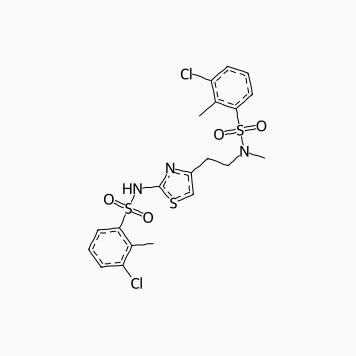 Cc1c(Cl)cccc1S(=O)(=O)Nc1nc(CCN(C)S(=O)(=O)c2cccc(Cl)c2C)cs1